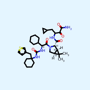 CC1(C)[C@@H]2[C@@H](C(=O)NC(CC3CC3)C(=O)C(N)=O)N(C(=O)[C@@H](NC(=O)NC3(Cc4ccsc4)CCCCC3)C3CCCCC3)C[C@@H]21